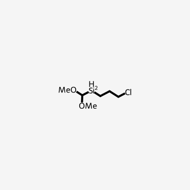 COC(OC)[SiH2]CCCCl